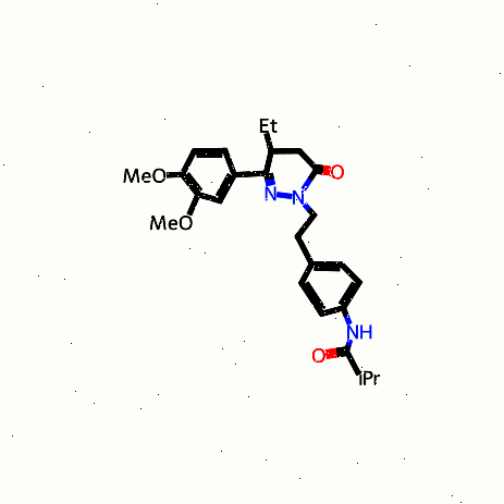 CCC1CC(=O)N(CCc2ccc(NC(=O)C(C)C)cc2)N=C1c1ccc(OC)c(OC)c1